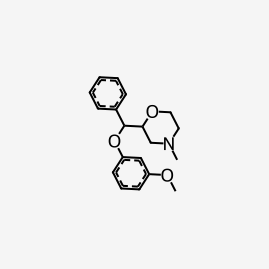 COc1cccc(OC(c2ccccc2)C2CN(C)CCO2)c1